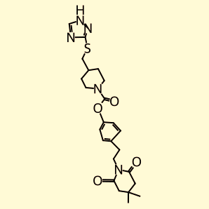 CC1(C)CC(=O)N(CCc2ccc(OC(=O)N3CCC(CSc4nc[nH]n4)CC3)cc2)C(=O)C1